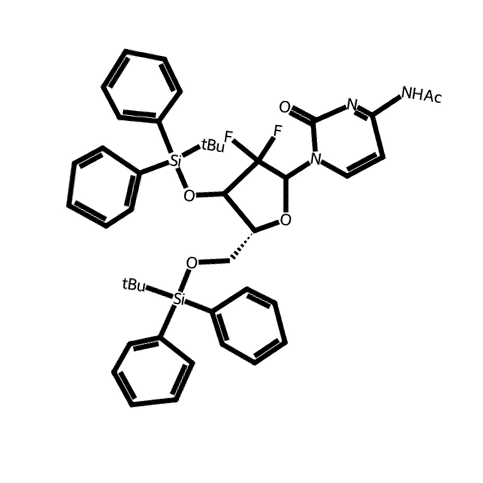 CC(=O)Nc1ccn(C2O[C@H](CO[Si](c3ccccc3)(c3ccccc3)C(C)(C)C)C(O[Si](c3ccccc3)(c3ccccc3)C(C)(C)C)C2(F)F)c(=O)n1